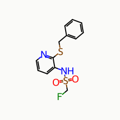 O=S(=O)(CF)Nc1cccnc1SCc1ccccc1